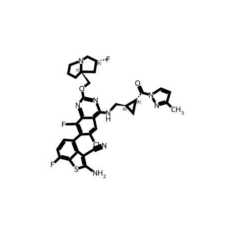 Cc1ccn(C(=O)[C@@H]2C[C@H]2CNc2nc(OC[C@@]34CCCN3C[C@H](F)C4)nc3c(F)c(-c4ccc(F)c5sc(N)c(C#N)c45)c(Cl)cc23)n1